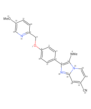 CNc1c(-c2ccc(OCc3ccc(OC)cn3)cc2)nc2cc(C#N)ccn12